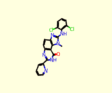 Cn1c(Nc2c(Cl)cccc2Cl)nc2ccc3nc(-c4ccccn4)[nH]c(=O)c3c21